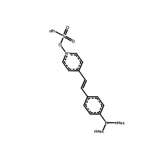 CCCCCCN(CCCCCC)c1ccc(C=Cc2cc[n+](OS(=O)(=O)CCC)cc2)cc1